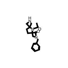 CC(=O)N1C2(CCC13CN(Cc1ccccc1)C3=O)CNC2